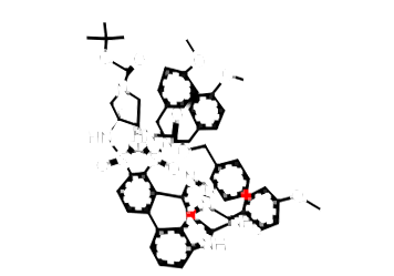 COc1ccc(CN(Cc2ccc(OC)cc2)S(=O)(=O)c2c(S(=O)(=O)N[C@H]3CN(C(=O)OC(C)(C)C)C[C@H]3NC(=O)OCc3ccccc3)ccc(-c3cccc4[nH]c(N)nc34)c2-c2nnn(Cc3ccc(OC)cc3)n2)cc1